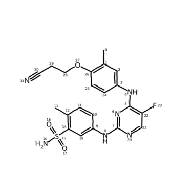 Cc1cc(Nc2nc(Nc3ccc(C)c(S(N)(=O)=O)c3)ncc2F)ccc1OCCC#N